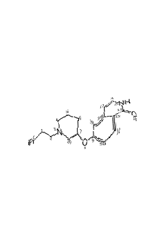 CC(C)CCN1CCCC(Oc2ccc3c(=O)[nH]ccc3c2)C1